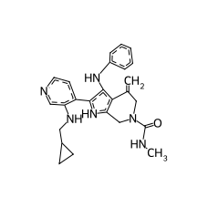 C=C1CN(C(=O)NC)Cc2[nH]c(-c3ccncc3NCC3CC3)c(Nc3ccccc3)c21